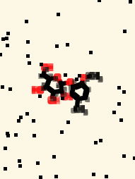 COc1ccc(C)cc1OC1OC(CO)C(O)C(O)C1O